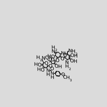 COc1ccc(NC(=O)NC2[C@@H](OC3[C@@H](CO)O[C@@H](O[C@@H]4C(O)[C@H](N)CC(N)[C@H]4O[C@H]4OC(CN)[C@@H](O)[C@H](O)C4N)[C@H]3O)OC(CN)[C@@H](O)[C@H]2O)cc1